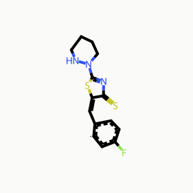 Fc1c[c]c(C=C2SC(N3CCCCN3)=NC2=S)cc1